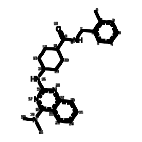 Cc1ccccc1CNC(=O)C1CCC(Nc2nc(N(C)C)c3ccccc3n2)CC1